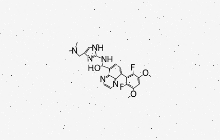 COc1cc(OC)c(F)c(-c2ccc(C(O)Nc3nc(CN(C)C)c[nH]3)c3nccnc23)c1F